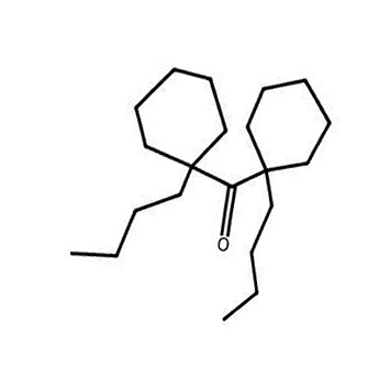 CCCCC1(C(=O)C2(CCCC)CCCCC2)CCCCC1